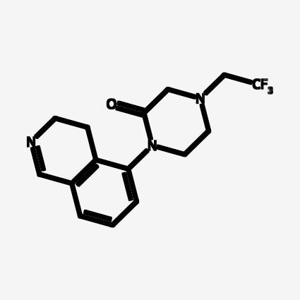 O=C1CN(CC(F)(F)F)CCN1c1cccc2c1CCN=C2